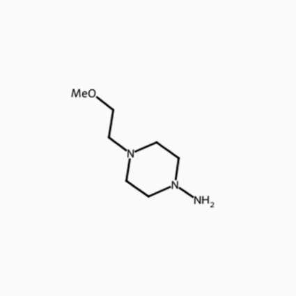 COCCN1CCN(N)CC1